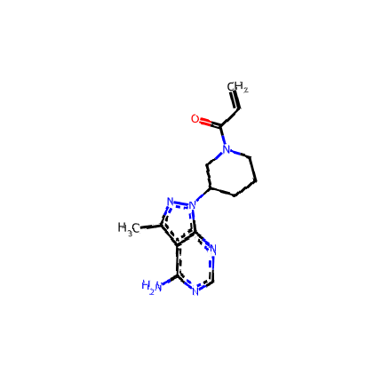 C=CC(=O)N1CCCC(n2nc(C)c3c(N)ncnc32)C1